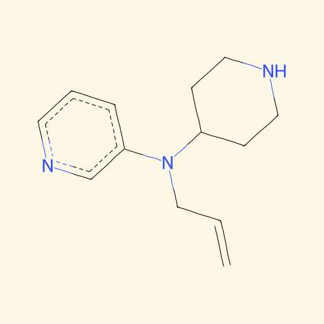 C=CCN(c1cccnc1)C1CCNCC1